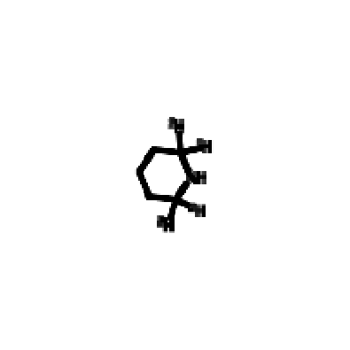 [2H]C1([2H])CCCC([2H])([2H])N1